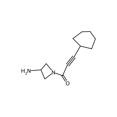 NC1CN(C(=O)C#CC2CCCCC2)C1